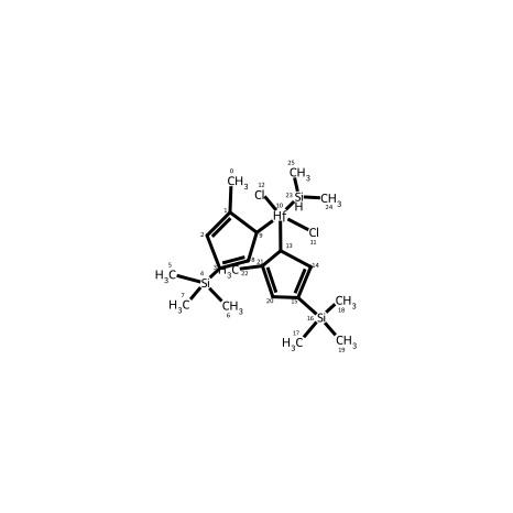 CC1=CC([Si](C)(C)C)=C[CH]1[Hf]([Cl])([Cl])([CH]1C=C([Si](C)(C)C)C=C1C)[SiH](C)C